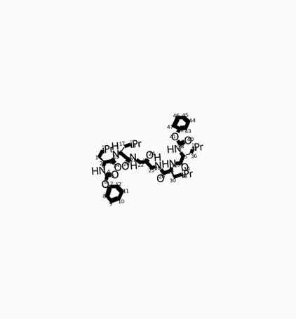 CC(C)C[C@H](NC(=O)Oc1ccccc1)C(=O)N[C@H](CC(C)C)C(=O)NCC(=O)CNC(=O)[C@H](CC(C)C)NC(=O)[C@@H](CC(C)C)NC(=O)Oc1ccccc1